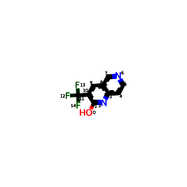 Oc1nc2ccncc2cc1C(F)(F)F